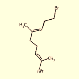 CCCC(C)=CCCC(C)=CCCBr